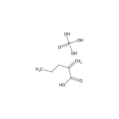 C=C(CCC)C(=O)O.O=P(O)(O)O